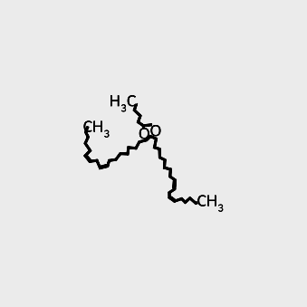 CCCCC/C=C\C/C=C\CCCCCCCCC1(CCCCCCCC/C=C\C/C=C\CCCCC)OCC(CCCCC)O1